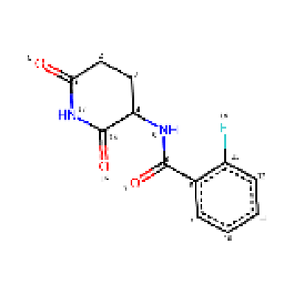 O=C1CCC(NC(=O)c2ccccc2F)C(=O)N1